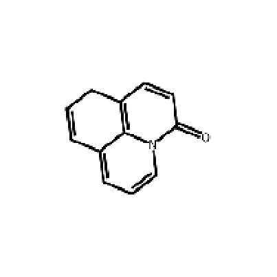 O=c1ccc2c3c(cccn13)C=CC2